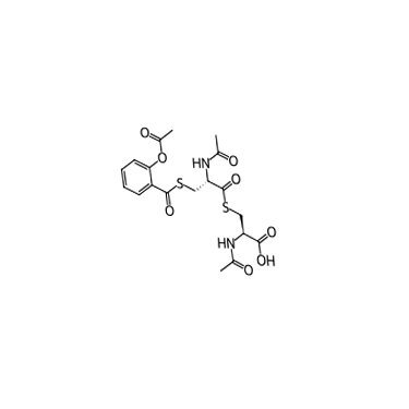 CC(=O)N[C@@H](CSC(=O)[C@H](CSC(=O)c1ccccc1OC(C)=O)NC(C)=O)C(=O)O